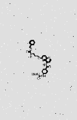 CC(C)(C)OC(=O)NC1CCC(C(=O)Nc2ccnc3ccc(OCCCNC(=O)OCc4ccccc4)nc23)CC1